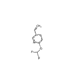 C=Cc1ccc(OC(F)F)nc1